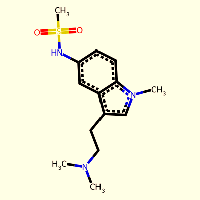 CN(C)CCc1cn(C)c2ccc(NS(C)(=O)=O)cc12